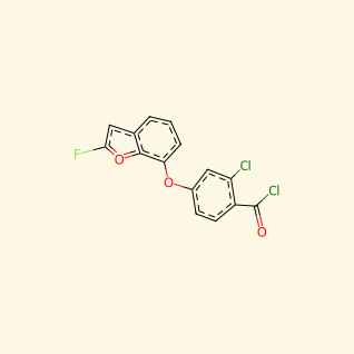 O=C(Cl)c1ccc(Oc2cccc3cc(F)oc23)cc1Cl